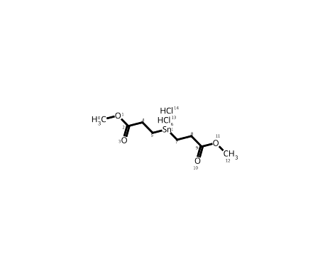 COC(=O)C[CH2][Sn][CH2]CC(=O)OC.Cl.Cl